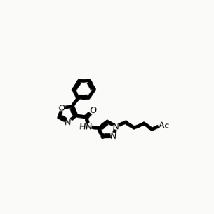 CC(=O)CCCCn1cc(NC(=O)c2ncoc2-c2ccccc2)cn1